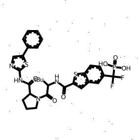 CC(C)(C)C(NC(=O)c1cc2cc(C(F)(F)P(=O)(O)O)ccc2s1)C(=O)N1CCCC1C(=O)Nc1ncc(-c2ccccc2)s1